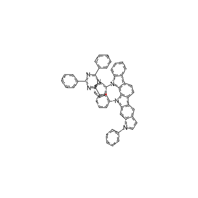 c1ccc(-c2nc(-c3ccccc3)nc(-c3cccc(-n4c5cc6c(ccn6-c6ccccc6)cc5c5ccc6c7ccccc7n(-c7ccccc7)c6c54)c3)n2)cc1